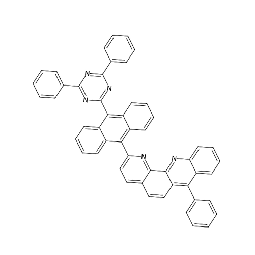 c1ccc(-c2nc(-c3ccccc3)nc(-c3c4ccccc4c(-c4ccc5ccc6c(-c7ccccc7)c7ccccc7nc6c5n4)c4ccccc34)n2)cc1